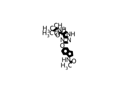 CC(=O)N[C@@H]1CCc2cc(Oc3cnc4[nH]cc(C(=O)N[C@@H](C)C(C)(C)C)c4n3)ccc21